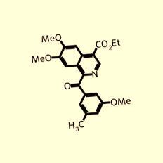 CCOC(=O)c1cnc(C(=O)c2cc(C)cc(OC)c2)c2cc(OC)c(OC)cc12